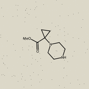 COC(=O)C1(N2CCNCC2)CC1